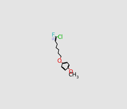 COc1ccc(OCCCCC/C=C(/F)Cl)cc1